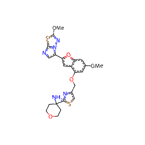 COc1cc(OCc2csc(C3(N)CCOCC3)n2)c2cc(-c3cnc4sc(OC)nn34)oc2c1